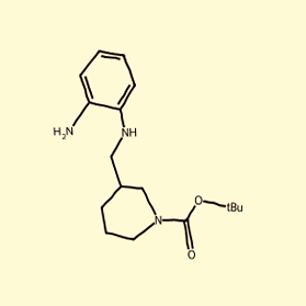 CC(C)(C)OC(=O)N1CCCC(CNc2ccccc2N)C1